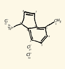 Cc1cccc2c1C=C[CH]2[Ti+3].[Cl-].[Cl-].[Cl-]